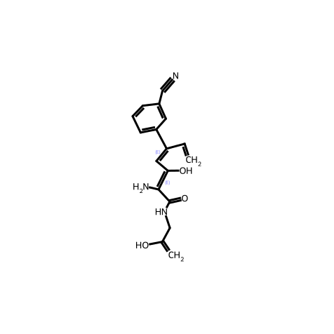 C=C/C(=C\C(O)=C(/N)C(=O)NCC(=C)O)c1cccc(C#N)c1